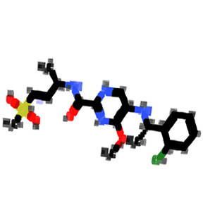 COc1nc(C(=O)N[C@H](C)/C=C/S(C)(=O)=O)ncc1N[C@@H](C)c1ccccc1Cl